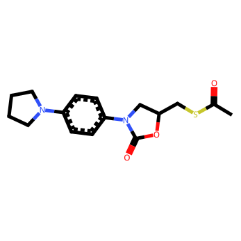 CC(=O)SCC1CN(c2ccc(N3CCCC3)cc2)C(=O)O1